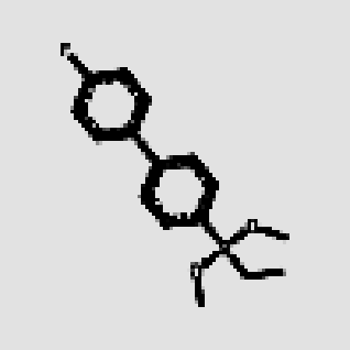 CC[Si](OC)(OC)c1ccc(-c2ccc(F)cc2)cc1